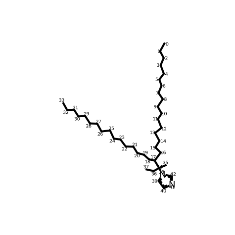 CCCCCCCCCCCCCCCCCC(CCCCCCCCCCCCCCCC)C(C)(CC)n1ccnc1